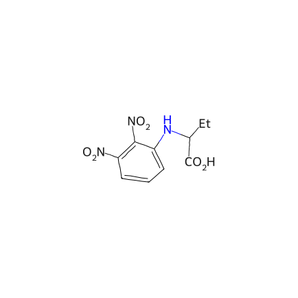 CCC(Nc1cccc([N+](=O)[O-])c1[N+](=O)[O-])C(=O)O